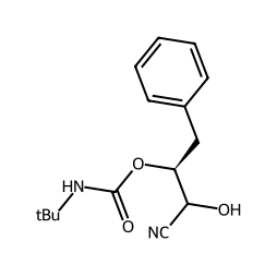 CC(C)(C)NC(=O)O[C@@H](Cc1ccccc1)C(O)C#N